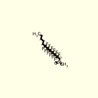 CCCCCC(F)(F)C(F)(F)C(F)(F)C(F)(F)C(F)(F)C(F)(F)C[Si](C)=O